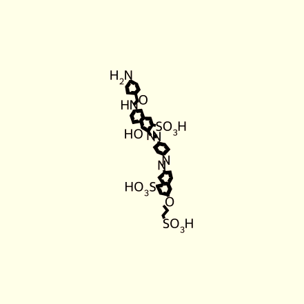 Nc1ccc(C(=O)Nc2ccc3c(O)c(N=Nc4ccc(N=Nc5ccc6cc(OCCCS(=O)(=O)O)cc(S(=O)(=O)O)c6c5)cc4)c(S(=O)(=O)O)cc3c2)cc1